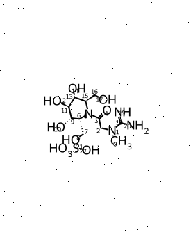 CN(CC(=O)N1[C@H](CO)[C@H](O)[C@@H](O)[C@H](O)[C@H]1CO)C(=N)N.O=S(=O)(O)O